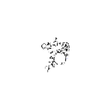 CC1(S(=O)(=O)NC(=O)[C@@]23C[C@H]2/C=C\CCCCC[C@H](NC(=O)CC(F)(F)F)C(=O)N2C[C@@]4(CCc5c(c(-c6cccc(F)c6)nc6ccccc56)O4)C[C@H]2C(=O)N3)CC1